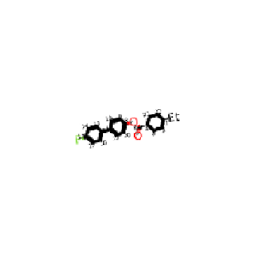 CC[C@H]1CC[C@H](C(=O)Oc2ccc(-c3ccc(F)cc3)cc2)CC1